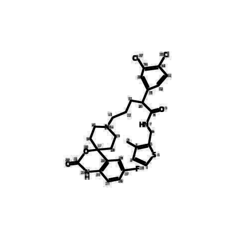 Cc1ccsc1CNC(=O)C(CCCN1CCC2(CC1)OC(=O)Nc1ccc(F)cc12)c1ccc(Cl)c(Cl)c1